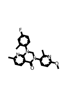 COc1ccc(N2CN(c3ccc(F)cc3C)c3nc(C)ccc3C2=O)c(C)n1